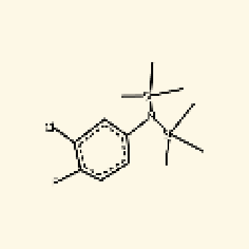 C[Si](C)(C)N(c1ccc(F)c(Cl)c1)[Si](C)(C)C